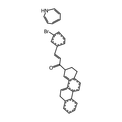 C1=CC=CNC=C1.O=C(C=Cc1cccc(Br)c1)C1C=c2c(ccc3c2=CCc2ccccc2-3)CC1